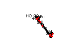 CC(C)(C)OC(=O)C(CCC(=O)O)NC(=O)CCC(=O)NCCCOCCOCCOCCCNC(=O)OCC1c2ccccc2-c2ccccc21